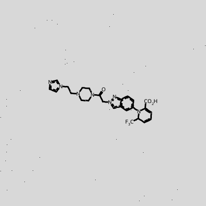 O=C(O)C1=CC=CC(C(F)(F)F)N1c1ccc2nn(CC(=O)N3CCN(CCn4ccnc4)CC3)cc2c1